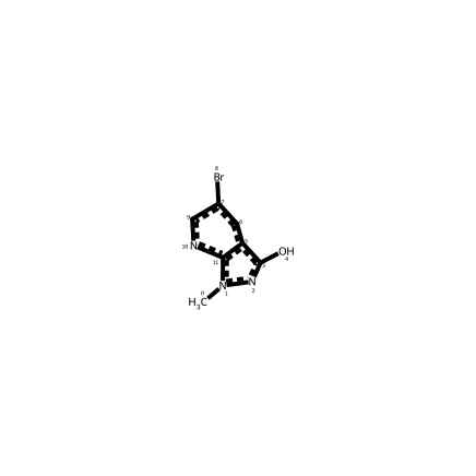 Cn1nc(O)c2cc(Br)cnc21